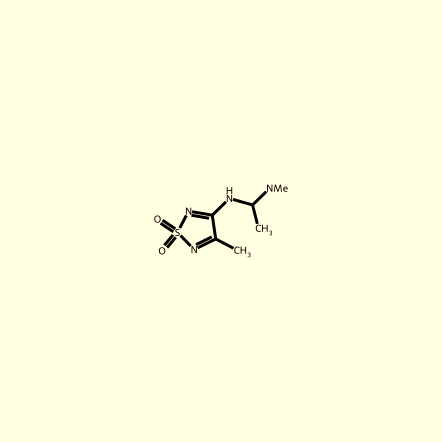 CNC(C)NC1=NS(=O)(=O)N=C1C